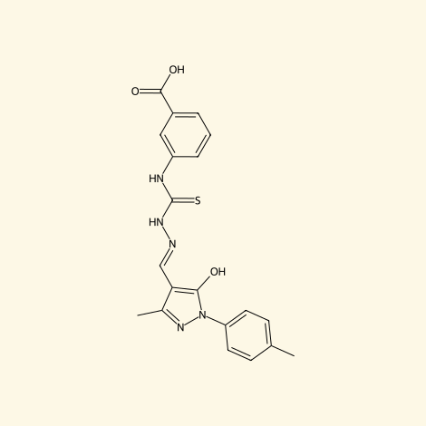 Cc1ccc(-n2nc(C)c(C=NNC(=S)Nc3cccc(C(=O)O)c3)c2O)cc1